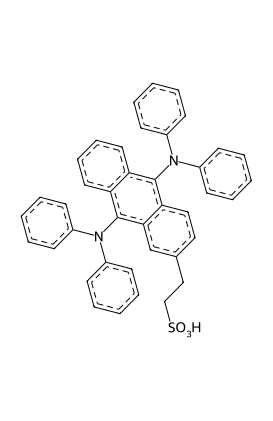 O=S(=O)(O)CCc1ccc2c(N(c3ccccc3)c3ccccc3)c3ccccc3c(N(c3ccccc3)c3ccccc3)c2c1